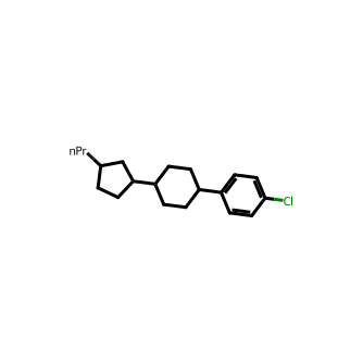 CCCC1CCC(C2CCC(c3ccc(Cl)cc3)CC2)C1